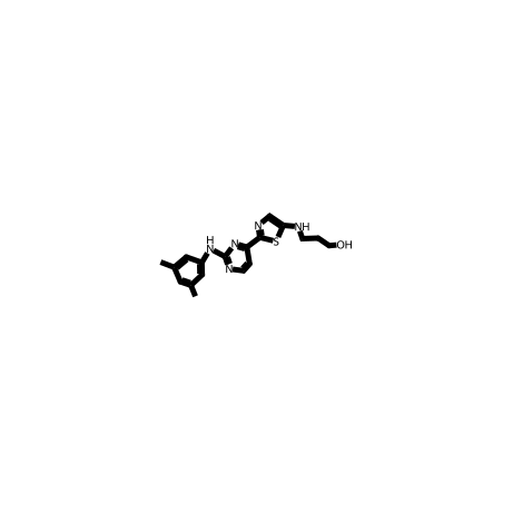 Cc1cc(C)cc(Nc2nccc(-c3ncc(NCCCO)s3)n2)c1